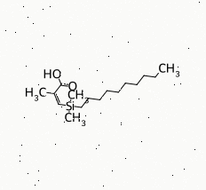 CCCCCCCCCC[Si](C)(C)C=C(C)C(=O)O